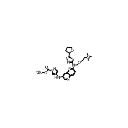 CC(C)(C)OC(=O)n1cc(Nc2cnc3ccc(N(COCC[Si](C)(C)C)c4nnc(C5CCCO5)s4)nc3c2)cn1